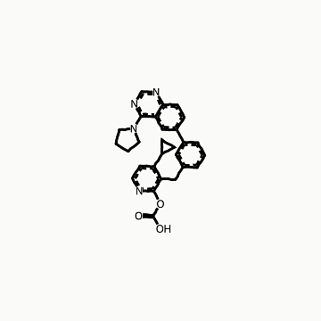 O=C(O)Oc1nccc(C2CC2)c1Cc1cccc(-c2ccc3ncnc(N4CCCC4)c3c2)c1